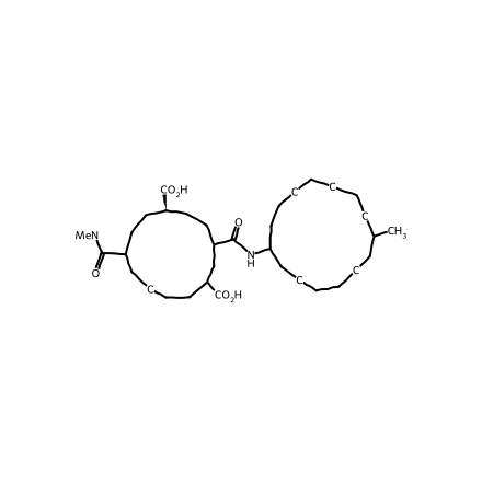 CNC(=O)C1CCCCC(C(=O)O)CC(C(=O)NC2CCCCCCCC(C)CCCCCC2)CC[C@H](C(=O)O)CC1